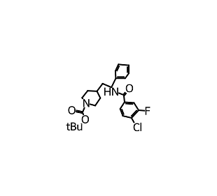 CC(C)(C)OC(=O)N1CCC(CC(NC(=O)c2ccc(Cl)c(F)c2)c2ccccc2)CC1